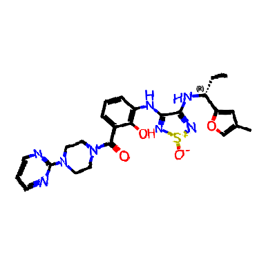 CC[C@@H](Nc1n[s+]([O-])nc1Nc1cccc(C(=O)N2CCN(c3ncccn3)CC2)c1O)c1cc(C)co1